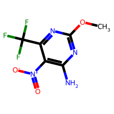 COc1nc(N)c([N+](=O)[O-])c(C(F)(F)F)n1